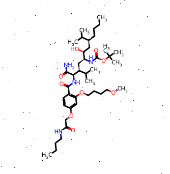 CCCCNC(=O)COc1ccc(C(=O)NC(C(N)=O)[C@@H](C[C@H](NC(=O)OC(C)(C)C)[C@@H](O)C[C@H](CCCC)C(C)C)C(C)C)c(OCCCCOC)c1